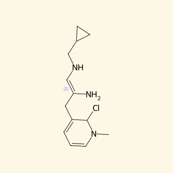 CN1C=CC=C(C/C(N)=C/NCC2CC2)C1Cl